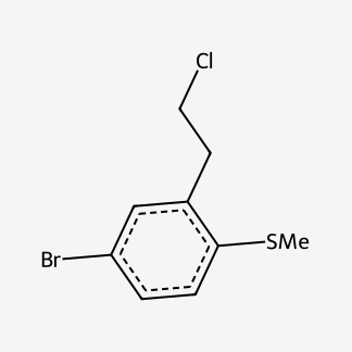 CSc1ccc(Br)cc1CCCl